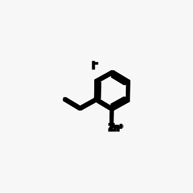 CCc1cccc[c]1[Zn+].[I-]